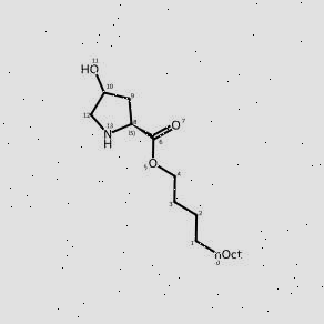 CCCCCCCCCCCCOC(=O)[C@@H]1CC(O)CN1